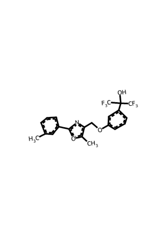 Cc1cccc(-c2nc(COc3cccc(C(O)(C(F)(F)F)C(F)(F)F)c3)c(C)o2)c1